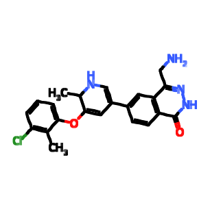 Cc1c(Cl)cccc1OC1=CC(c2ccc3c(=O)[nH]nc(CN)c3c2)=CNC1C